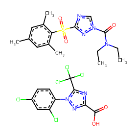 CCN(CC)C(=O)n1cnc(S(=O)(=O)c2c(C)cc(C)cc2C)n1.O=C(O)c1nc(C(Cl)(Cl)Cl)n(-c2ccc(Cl)cc2Cl)n1